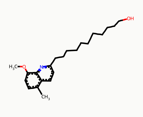 COc1ccc(C)c2ccc(CCCCCCCCCCCO)nc12